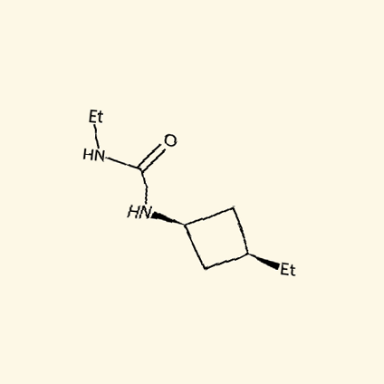 CCNC(=O)N[C@H]1C[C@@H](CC)C1